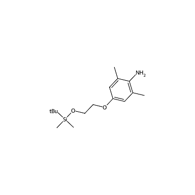 Cc1cc(OCCO[Si](C)(C)C(C)(C)C)cc(C)c1N